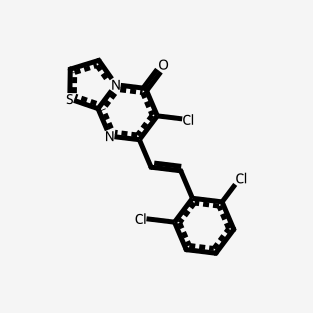 O=c1c(Cl)c(/C=C/c2c(Cl)cccc2Cl)nc2sccn12